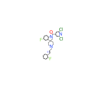 O=C(c1cc(Cl)nc(Cl)c1)N1CC2(CCN(C/C=C/c3ccccc3F)CC2)c2cc(F)ccc21